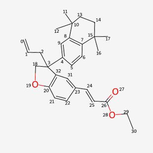 C=CCC1(c2ccc3c(c2)C(C)(C)CCC3(C)C)COc2ccc(C=CC(=O)OCC)cc21